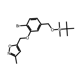 Cc1cc(COc2cc(CO[Si](C)(C)C(C)(C)C)ccc2Br)on1